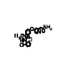 Cn1c(Nc2c(Cl)cccc2Cl)nc2cc(Oc3ccnc(CC(N)=O)c3)ccc21